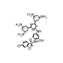 N[C@@H]1C[C@H](N)CN(c2nc(Nc3ccc(NS(=O)(=O)c4ccc(Cl)cc4Cl)c(O)c3)nc(N3C[C@H](N)C[C@H](N)C3)n2)C1